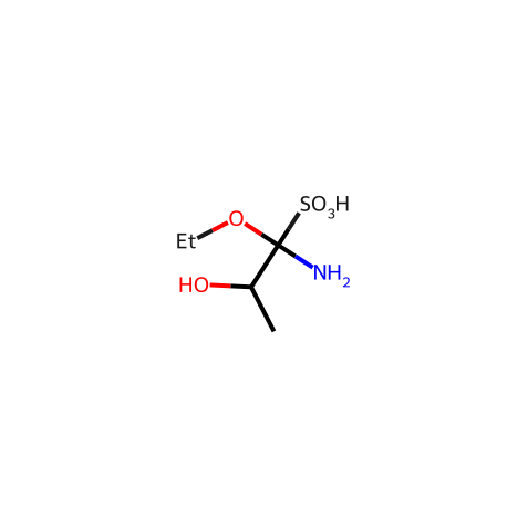 CCOC(N)(C(C)O)S(=O)(=O)O